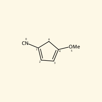 [C-]#[N+]C1=CC=C(OC)C1